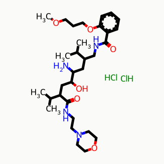 COCCCOc1ccccc1C(=O)NCC(CC(N)C(O)CC(C(=O)NCCN1CCOCC1)C(C)C)C(C)C.Cl.Cl